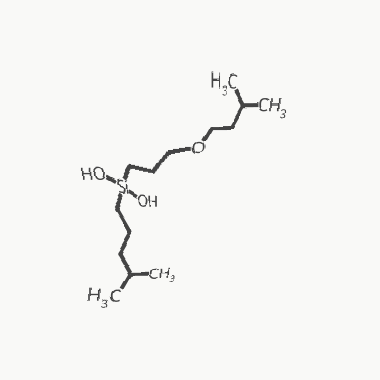 CC(C)CCC[Si](O)(O)CCCOCCC(C)C